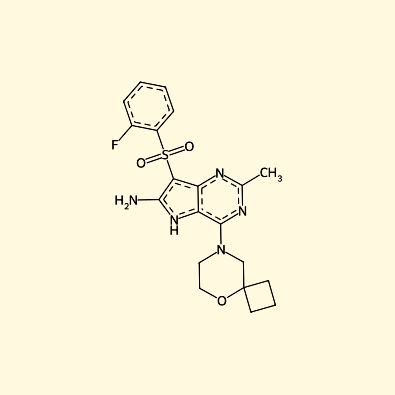 Cc1nc(N2CCOC3(CCC3)C2)c2[nH]c(N)c(S(=O)(=O)c3ccccc3F)c2n1